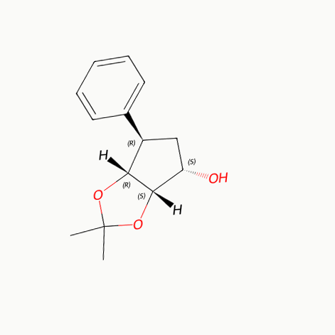 CC1(C)O[C@@H]2[C@H](O1)[C@@H](c1ccccc1)C[C@@H]2O